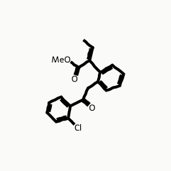 CC=C(C(=O)OC)c1ccccc1CC(=O)c1ccccc1Cl